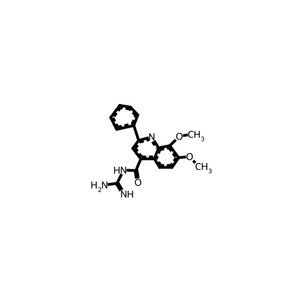 COc1ccc2c(C(=O)NC(=N)N)cc(-c3ccccc3)nc2c1OC